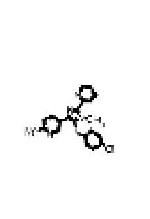 Cn1c(-c2ccccn2)nc(-c2ccc(C#N)nc2)c1Sc1ccc(Cl)cc1